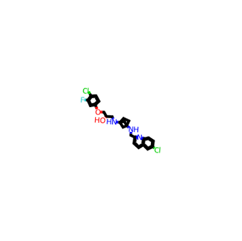 OC(CNC12CCC(NCc3ccc4cc(Cl)ccc4n3)(C1)C2)COc1ccc(Cl)c(F)c1